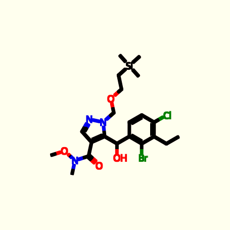 CCc1c(Cl)ccc(C(O)c2c(C(=O)N(C)OC)cnn2COCC[Si](C)(C)C)c1Br